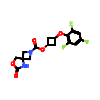 O=C1NC2(CO1)CN(C(=O)O[C@H]1C[C@H](Oc3c(F)cc(F)cc3F)C1)C2